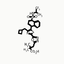 CC(NS(=O)(=O)c1ccc(-c2sc(-c3nnc(CC(C)(C)C(=O)O)o3)nc2CC2CCC2)c2ccccc12)C(F)(F)F